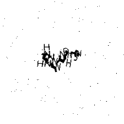 Cc1cc(Nc2cc(C)[nH]n2)nc(-c2ccc(C(=O)NCc3cncs3)nc2)n1